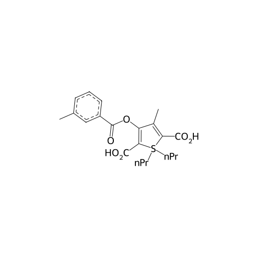 CCCS1(CCC)C(C(=O)O)=C(C)C(OC(=O)c2cccc(C)c2)=C1C(=O)O